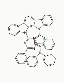 C1=Cc2c(n(-c3ccc(-n4c5ccccc5c5ccc6c7ccccc7n(-c7nc(-c8ccccc8)nc(-c8ccccc8)n7)c6c54)cc3)c3ccccc23)CC1